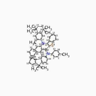 Cc1ccc(N2B3c4sc5ccccc5c4N(c4cc5c(cc4C)C(C)(C)CCC5(C)C)c4cc5ccccc5c(c43)-c3c2ccc2c3-c3ccccc3C2(C)C)cc1